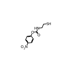 O=C(NCCS)Oc1ccc([N+](=O)[O-])cc1